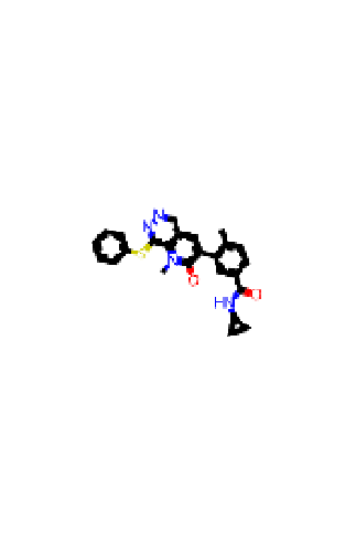 Cc1ccc(C(=O)NC2CC2)cc1-c1cc2cnnc(Sc3ccccc3)c2n(C)c1=O